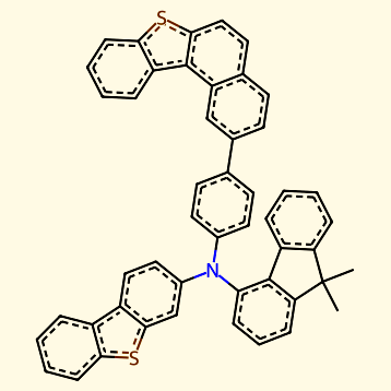 CC1(C)c2ccccc2-c2c(N(c3ccc(-c4ccc5ccc6sc7ccccc7c6c5c4)cc3)c3ccc4c(c3)sc3ccccc34)cccc21